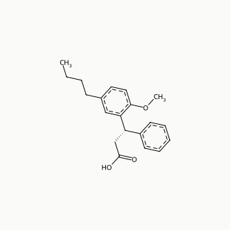 CCCCc1ccc(OC)c([C@@H](CC(=O)O)c2ccccc2)c1